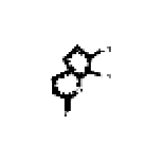 N#Cc1ccc2ccc(=O)oc2c1C#N